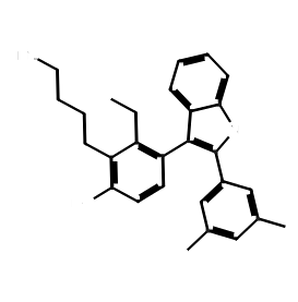 CCc1c(-c2c(-c3cc(C)cc(C)c3)[nH]c3ccccc23)ccc(O)c1CCCCN